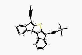 CC#CC1=c2sc3c(c2-c2ccccc21)-c1ccccc1C=3C#C[Si](C)(C)C